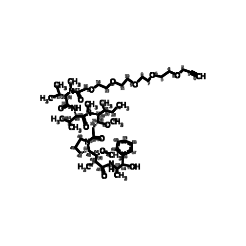 C#CCOCCOCCOCCOCCOCC(=O)N(C)[C@H](C(=O)N[C@H](C(=O)N(C)[C@@H]([C@@H](C)CC)[C@@H](CC(=O)N1CCC[C@H]1[C@H](OC)[C@@H](C)C(=O)N[C@H](C)C(O)c1ccccc1)OC)C(C)C)C(C)C